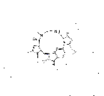 Cc1cc2c([nH]1)/C=C1\C(=O)Nc3ccc(nc31)-c1c(C3CC3)n[nH]c1CNCCN(C)C2=O